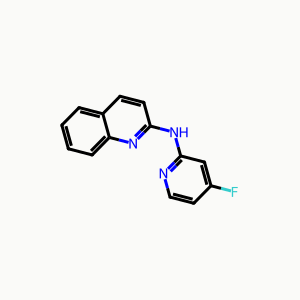 Fc1ccnc(Nc2ccc3ccccc3n2)c1